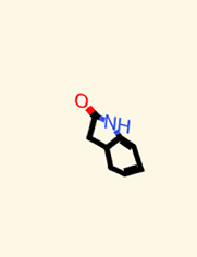 O=C1CC2CC=CC=C2N1